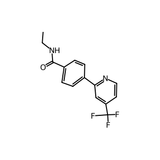 CCNC(=O)c1ccc(-c2cc(C(F)(F)F)ccn2)cc1